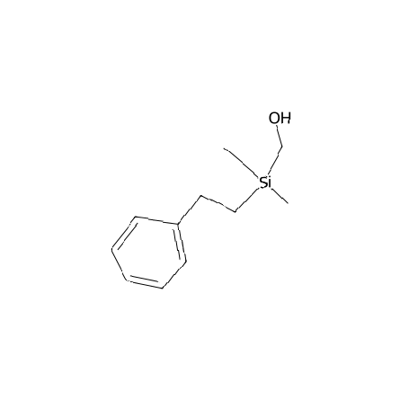 C[Si](C)(CO)CCc1ccccc1